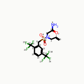 C=CCN(CC(N)=O)S(=O)(=O)Cc1cc(C(F)(F)F)ccc1C(F)(F)F